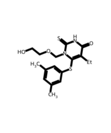 CCc1c(Sc2cc(C)cc(C)c2)n(COCCO)c(=S)[nH]c1=O